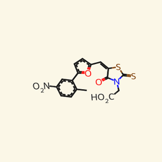 Cc1ccc([N+](=O)[O-])cc1-c1ccc(C=C2SC(=S)N(CC(=O)O)C2=O)o1